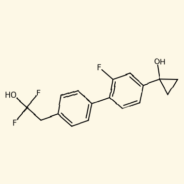 OC(F)(F)Cc1ccc(-c2ccc(C3(O)CC3)cc2F)cc1